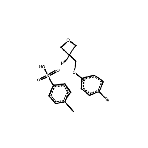 Cc1ccc(S(=O)(=O)O)cc1.FC1(COc2ccc(Br)cc2)COC1